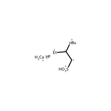 CCCCC(CC)CS(=O)(=O)O.F.[CaH2]